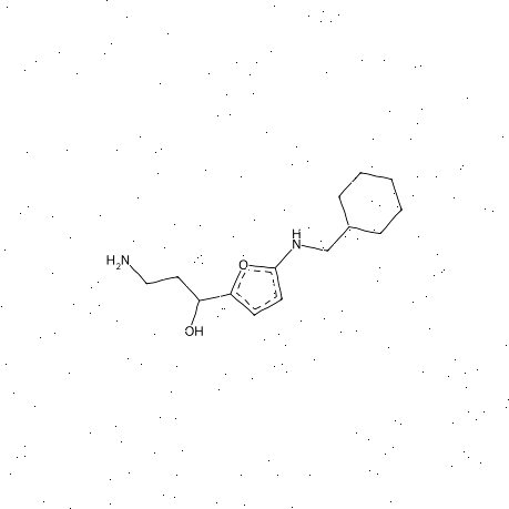 NCCC(O)c1ccc(NCC2CCCCC2)o1